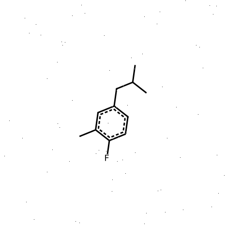 Cc1cc(CC(C)C)ccc1F